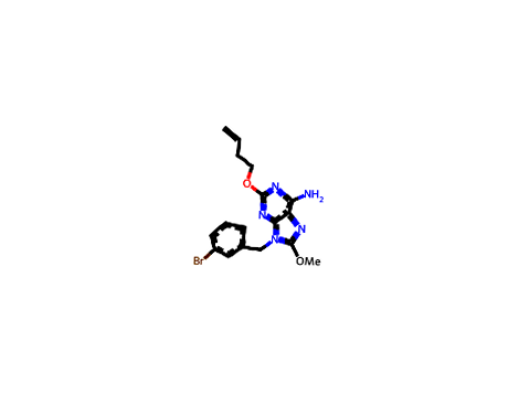 C=CCCOc1nc(N)c2nc(OC)n(Cc3cccc(Br)c3)c2n1